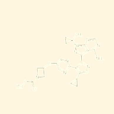 CC(C)(C)OC(=O)N1CC(Oc2cnc(-c3c(-c4nn(C5(C)CC5)c5ncnc(N)c45)noc3C3CC3)nc2)C1